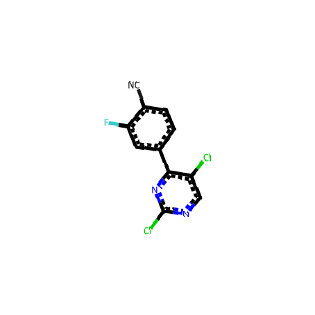 N#Cc1ccc(-c2nc(Cl)ncc2Cl)cc1F